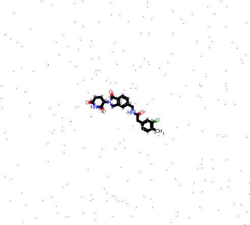 Cc1ccc(CC(=O)NCc2ccc3c(c2)CN(C2CCC(=O)NC2=O)C3=O)cc1Cl